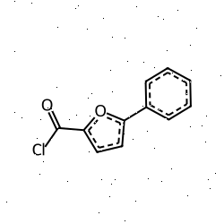 O=C(Cl)c1ccc(-c2ccccc2)o1